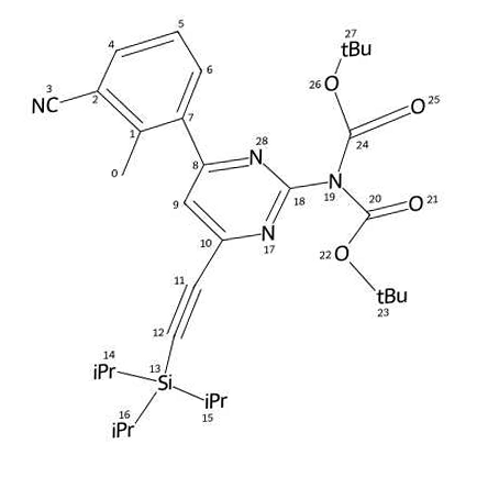 Cc1c(C#N)cccc1-c1cc(C#C[Si](C(C)C)(C(C)C)C(C)C)nc(N(C(=O)OC(C)(C)C)C(=O)OC(C)(C)C)n1